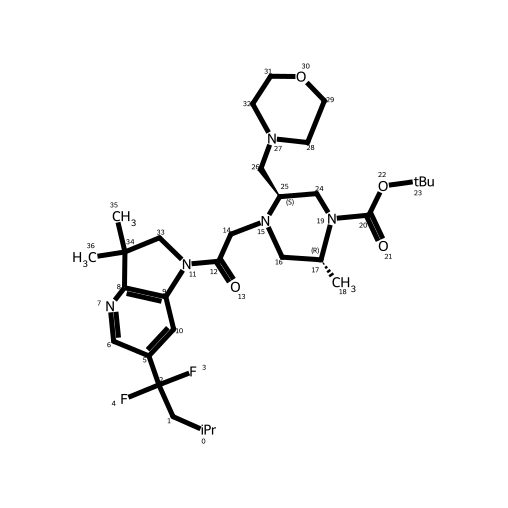 CC(C)CC(F)(F)c1cnc2c(c1)N(C(=O)CN1C[C@@H](C)N(C(=O)OC(C)(C)C)C[C@@H]1CN1CCOCC1)CC2(C)C